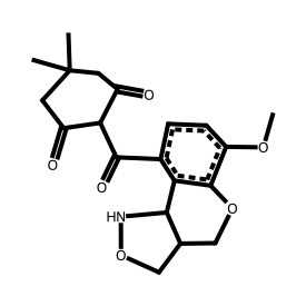 COc1ccc(C(=O)C2C(=O)CC(C)(C)CC2=O)c2c1OCC1CONC21